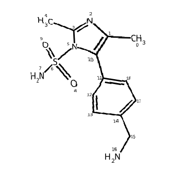 Cc1nc(C)n(S(N)(=O)=O)c1-c1ccc(CN)cc1